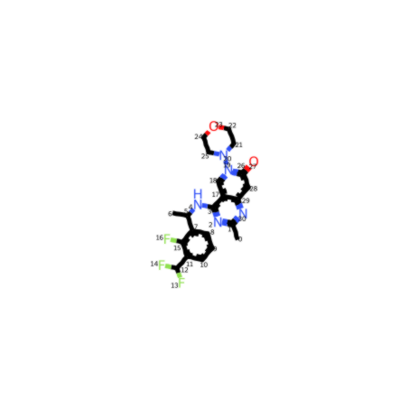 Cc1nc(NC(C)c2cccc(C(F)F)c2F)c2cn(N3CCOCC3)c(=O)cc2n1